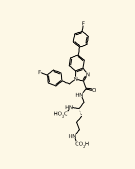 O=C(O)NCCC[C@@H](CNC(=O)c1nc2cc(-c3ccc(F)cc3)ccc2n1Cc1ccc(F)cc1)NC(=O)O